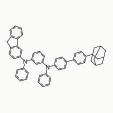 c1ccc(N(c2ccc(-c3ccc(C45CC6CC(CC(C6)C4)C5)cc3)cc2)c2cccc(N(c3ccccc3)c3ccc4c(c3)-c3ccccc3C4)c2)cc1